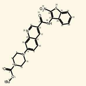 CC(C)(C)OC(=O)N1CCN(c2ccc3cc(C(=O)Nc4c([N+](=O)[O-])sc5ccccc45)cnc3c2)CC1